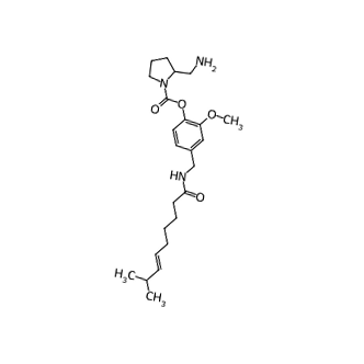 COc1cc(CNC(=O)CCCCC=CC(C)C)ccc1OC(=O)N1CCCC1CN